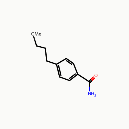 COCCCc1ccc(C(N)=O)cc1